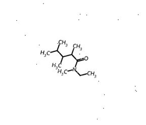 CCN(C)C(=O)C(C)C(C)C(C)C